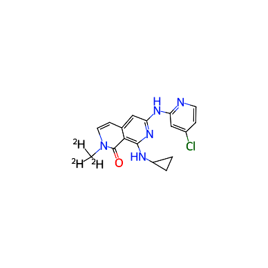 [2H]C([2H])([2H])n1ccc2cc(Nc3cc(Cl)ccn3)nc(NC3CC3)c2c1=O